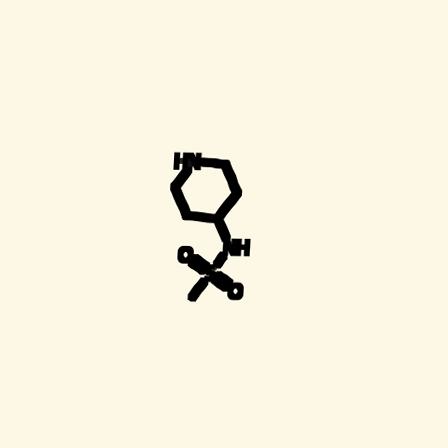 CS(=O)(=O)NC1CCNCC1